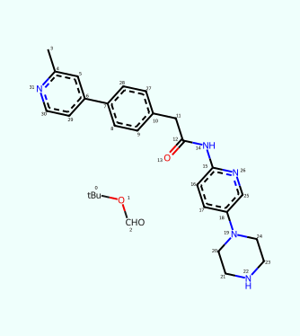 CC(C)(C)OC=O.Cc1cc(-c2ccc(CC(=O)Nc3ccc(N4CCNCC4)cn3)cc2)ccn1